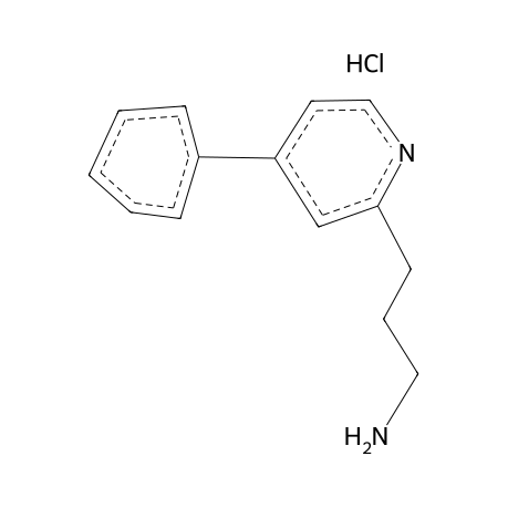 Cl.NCCCc1cc(-c2ccccc2)ccn1